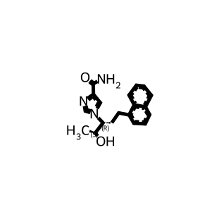 C[C@H](O)[C@@H](CCc1cccc2ccccc12)n1cnc(C(N)=O)c1